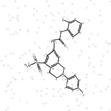 NS(=O)(=O)c1cc(NC(=O)Cc2ccccc2Cl)cc2c1CCN(c1ccc(F)cc1)C2